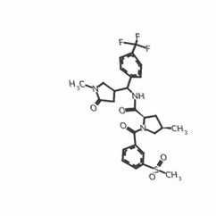 C[C@@H]1C[C@H](C(=O)NC(c2ccc(C(F)(F)F)cc2)C2CC(=O)N(C)C2)N(C(=O)c2cccc(S(C)(=O)=O)c2)C1